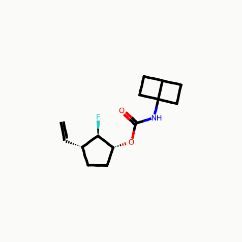 C=C[C@H]1CC[C@@H](OC(=O)NC23CCC2CC3)[C@@H]1F